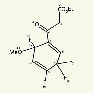 CCOC(=O)CC(=O)C1=CC(C)(F)C(F)=CC1(F)OC